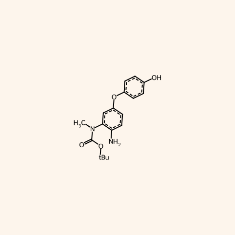 CN(C(=O)OC(C)(C)C)c1cc(Oc2ccc(O)cc2)ccc1N